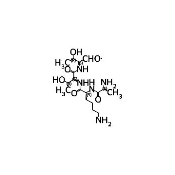 C[C@H](N)C(=O)N[C@@H](CCCCN)C(=O)N[C@H](C(=O)N[C@H]([C]=O)[C@@H](C)O)[C@@H](C)O